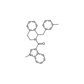 Cc1cccc(CC2c3ccccc3CCN2C(=O)c2cn(C)c3ccccc23)c1